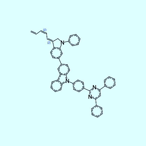 C=C/C=C\C=C1/CN(c2ccccc2)c2cc(-c3ccc4c(c3)c3ccccc3n4-c3ccc(-c4nc(-c5ccccc5)cc(-c5ccccc5)n4)cc3)ccc21